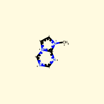 Cn1cc[n+]2cncnc12